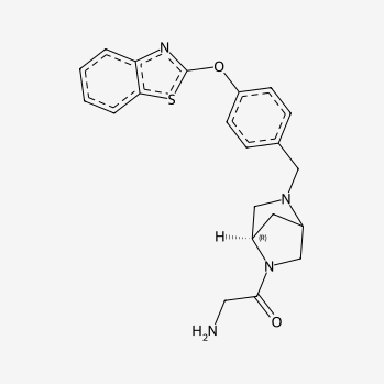 NCC(=O)N1CC2C[C@@H]1CN2Cc1ccc(Oc2nc3ccccc3s2)cc1